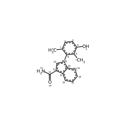 Cc1ccc(O)c(C)c1-n1cc(C(N)=O)c2cccnc21